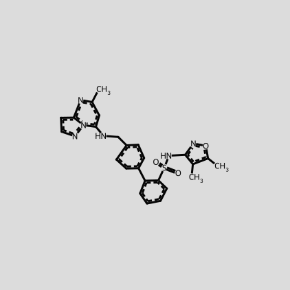 Cc1cc(NCc2ccc(-c3ccccc3S(=O)(=O)Nc3noc(C)c3C)cc2)n2nccc2n1